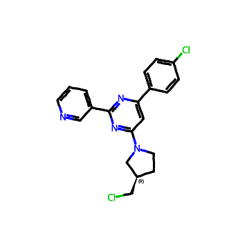 ClC[C@@H]1CCN(c2cc(-c3ccc(Cl)cc3)nc(-c3cccnc3)n2)C1